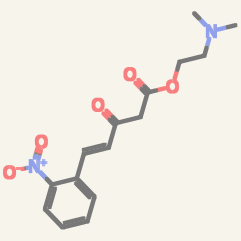 CN(C)CCOC(=O)CC(=O)C=Cc1ccccc1[N+](=O)[O-]